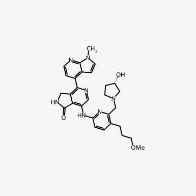 COCCCc1ccc(Nc2cnc(-c3ccnc4c3ccn4C)c3c2C(=O)NC3)nc1CN1CC[C@H](O)C1